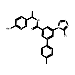 CCc1nnnn1-c1cc(C(=O)NC(C)c2ccc(NC)nc2)cc(-c2ccc(C)cc2)c1